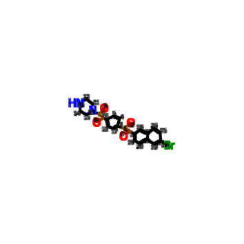 O=S(=O)(c1ccc(S(=O)(=O)N2CCNCC2)cc1)c1ccc2cc(Br)ccc2c1